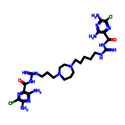 N=C(NCCCCCN1CCCN(CCCNC(=N)NC(=O)c2nc(Cl)c(N)nc2N)CC1)NC(=O)c1nc(Cl)c(N)nc1N